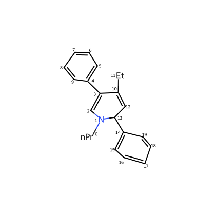 CCCN1C=C(c2ccccc2)C(CC)=CC1c1ccccc1